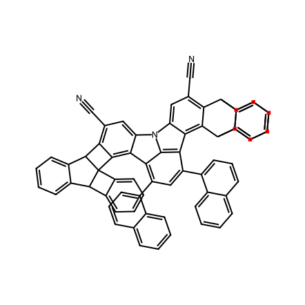 N#Cc1cc2c(c3c1C1c4ccccc4C3c3ccccc31)c1c(-c3cccc4ccccc34)cc(-c3cccc4ccccc34)c3c4c5c(c(C#N)cc4n2c13)C1c2ccccc2C2c3ccccc3C521